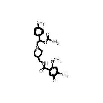 COc1cc(N)c(Cl)cc1C(=O)NCC1CCN(CC(OC(N)=O)c2ccc(C)cc2)CC1